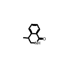 CC1CNC(=O)c2ccccc21